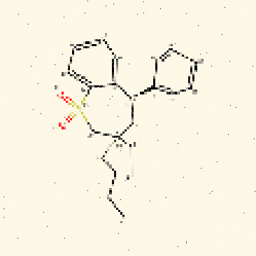 CCCC[C@@]1(CC)C[C@H](c2ccccc2)c2ccccc2S(=O)(=O)C1